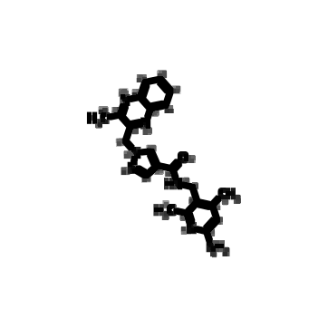 Cc1cc(N)nc(C)c1CNC(=O)c1cnn(Cc2nc3ccccc3nc2C)c1